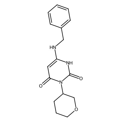 O=c1cc(NCc2ccccc2)[nH]c(=O)n1C1CCCOC1